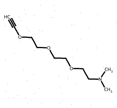 C#COCCOCCOCCN(C)C